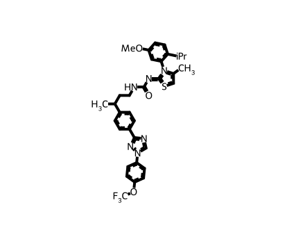 COc1ccc(C(C)C)c(-n2c(C)cs/c2=N\C(=O)NCCC(C)c2ccc(-c3ncn(-c4ccc(OC(F)(F)F)cc4)n3)cc2)c1